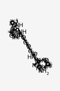 CC[C@@H](NC(=O)[C@@H]1C[C@H](NC(=O)CCOCCOCCOCCOCCC(=O)NCCn2nc3c(c2C#N)-c2cnc(N)c(c2)O[C@H](C)c2cc(F)ccc2C(=O)N(C)C3)CC1C(=O)[C@@H](NC(=O)[C@H](C)NC)C(C)(C)C)c1ccccc1